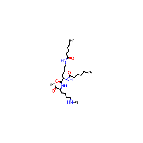 CCNCCCCC(NC(=O)C(CCCCNC(=O)CCCCC(C)C)NC(=O)CCCCC(C)C)C(=O)C(C)C